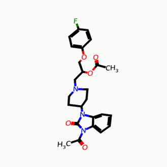 CC(=O)OC(COc1ccc(F)cc1)CN1CCC(n2c(=O)n(C(C)=O)c3ccccc32)CC1